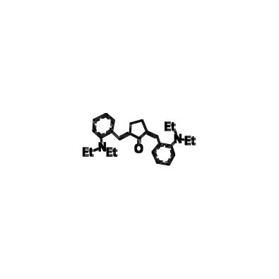 CCN(CC)c1ccccc1C=C1CCC(=Cc2ccccc2N(CC)CC)C1=O